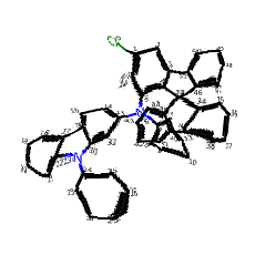 Clc1cc2c(c(N(c3ccccc3)c3ccc4c5ccccc5n(-c5ccccc5)c4c3)c1)C1(c3ccccc3-c3ccccc31)c1ccccc1-2